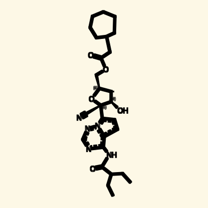 CCC(CC)C(=O)Nc1ncnn2c([C@]3(C#N)O[C@@H](COC(=O)CC4CCCCCC4)[CH][C@H]3O)ccc12